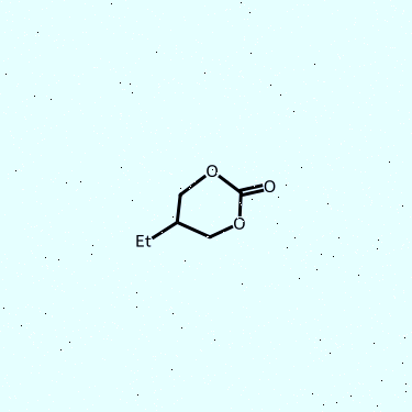 CCC1COC(=O)OC1